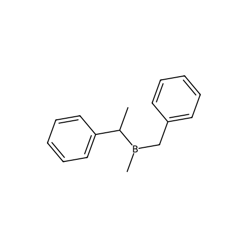 CB(Cc1ccccc1)C(C)c1ccccc1